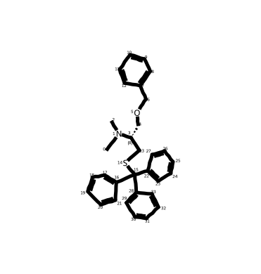 CN(C)[C@H](COCc1ccccc1)CSC(c1ccccc1)(c1ccccc1)c1ccccc1